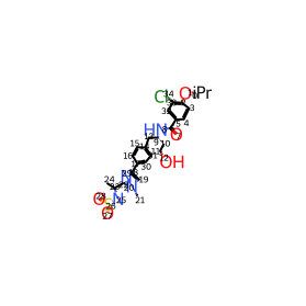 CC(C)Oc1ccc(C(=O)N[C@H](CCO)Cc2ccc(-c3cn(C)c(C(C)N=S(=O)=O)n3)cc2)cc1Cl